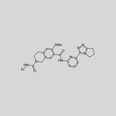 CCNC(=O)N1CCc2cc(OC)c(C(=O)Nc3cccc(-c4nnc5n4CCC5)n3)cc2C1